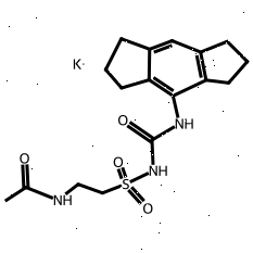 CC(=O)NCCS(=O)(=O)NC(=O)Nc1c2c(cc3c1CCC3)CCC2.[K]